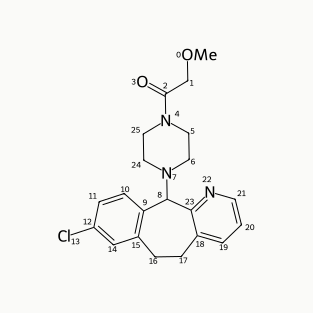 COCC(=O)N1CCN(C2c3ccc(Cl)cc3CCc3cccnc32)CC1